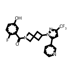 O=C(c1cc(O)ccc1F)N1CC2(CC(n3nc(C(F)(F)F)cc3-c3cccnc3)C2)C1